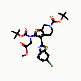 COC(=O)CN(C(=O)OC(C)(C)C)c1sc2c(c1-c1nc3ccc(Br)cc3s1)CCN(C(=O)OC(C)(C)C)C2